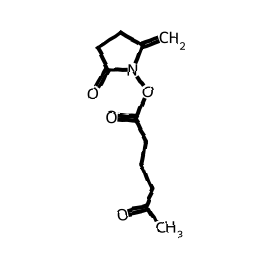 C=C1CCC(=O)N1OC(=O)CCCC(C)=O